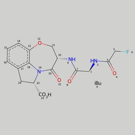 CC[C@H](C)[C@H](NC(=O)CF)C(=O)N[C@H]1COc2cccc3c2N(C1=O)[C@H](C(=O)O)C3